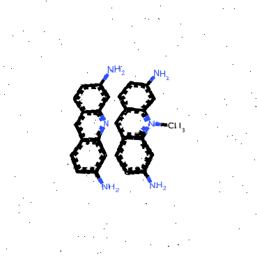 C[n+]1c2cc(N)ccc2cc2ccc(N)cc21.Nc1ccc2cc3ccc(N)cc3nc2c1